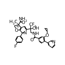 C[C@]1(C(N)=O)COc2c1cc(C(O)(CNC(=O)c1ccc(-c3cccnc3)c(OC3CC3)c1)C(F)(F)F)nc2-c1ccc(F)cc1